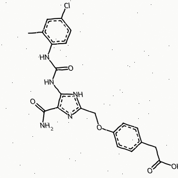 Cc1cc(Cl)ccc1NC(=O)Nc1[nH]c(COc2ccc(CC(=O)O)cc2)nc1C(N)=O